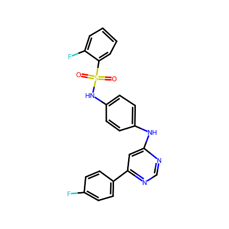 O=S(=O)(Nc1ccc(Nc2cc(-c3ccc(F)cc3)ncn2)cc1)c1ccccc1F